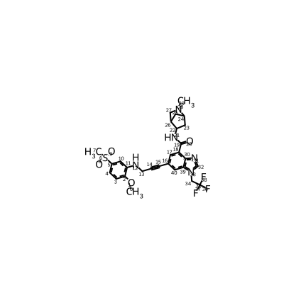 COc1ccc(S(C)(=O)=O)cc1NCC#Cc1cc(C(=O)NC2CC3CC2CN3C)c2ncn(CC(F)(F)F)c2c1